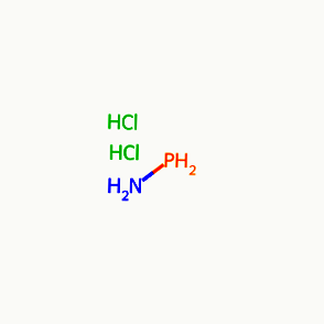 Cl.Cl.NP